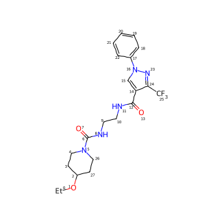 CCOC1CCN(C(=O)NCCNC(=O)c2cn(-c3ccccc3)nc2C(F)(F)F)CC1